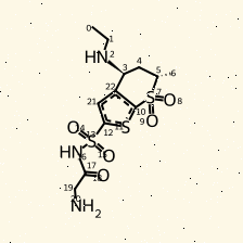 CCN[C@H]1C[C@H](C)S(=O)(=O)c2sc(S(=O)(=O)NC(=O)CN)cc21